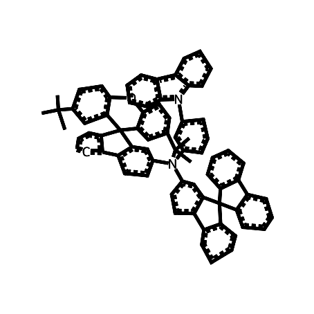 CC(C)(C)c1ccc2c(c1)C1(c3cc(C(C)(C)C)ccc3O2)c2ccccc2-c2ccc(N(c3cccc(-n4c5ccccc5c5ccccc54)c3)c3ccc4c(c3)C3(c5ccccc5-c5ccccc53)c3ccccc3-4)cc21